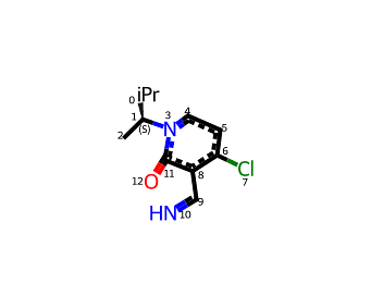 CC(C)[C@H](C)n1ccc(Cl)c(C=N)c1=O